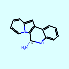 N[C@H]1Nc2ccccc2-c2cc3ccccn3c21